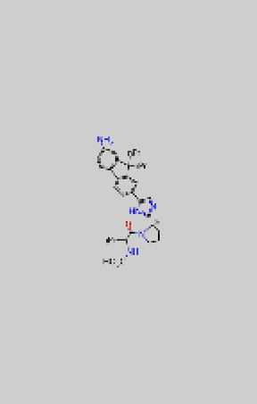 CCCC1(CCC)c2cc(N)ccc2-c2ccc(-c3cnc([C@@H]4CCCN4C(=O)C(NC(=O)O)C(C)C)[nH]3)cc21